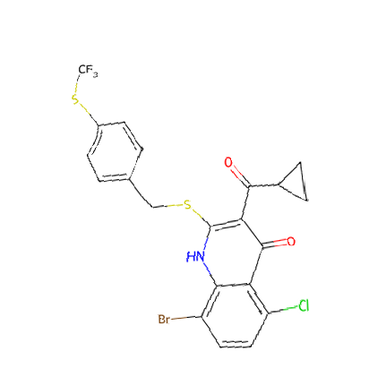 O=C(c1c(SCc2ccc(SC(F)(F)F)cc2)[nH]c2c(Br)ccc(Cl)c2c1=O)C1CC1